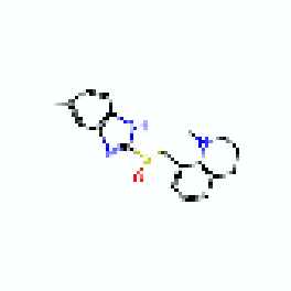 Cc1ccc2[nH]c([S+]([O-])Cc3cccc4c3N(C)CCC4)nc2c1